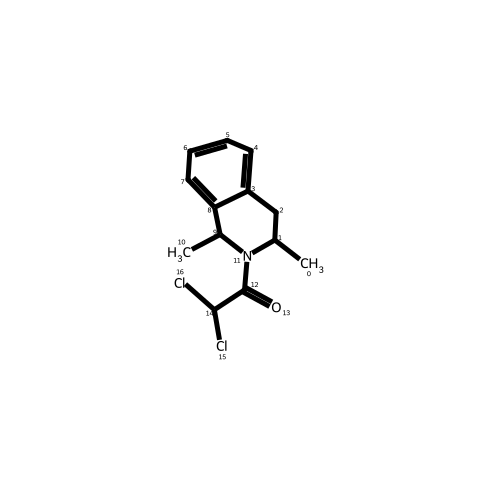 CC1Cc2ccccc2C(C)N1C(=O)C(Cl)Cl